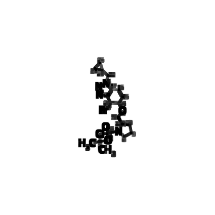 CC(C)(C)OC(=O)N1CCC[C@@H]1COc1ccc2c(nnn2CC2CC2)c1Br